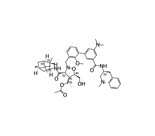 COc1c(CN2O[C@@H](CO)[C@@H]([C@H](C)OC(C)=O)[C@H]2C(=O)N[C@H]2C[C@H]3C[C@@H]([C@@H]2C)C3(C)C)cccc1-c1cc(C(=O)N[C@@H](Cc2ccccc2)CN(C)C)cc(N(C)C)c1